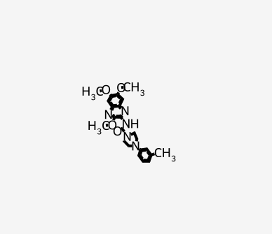 COc1cc2nc(NC(=O)N3CCN(c4cccc(C)c4)CC3)c(OC)nc2cc1OC